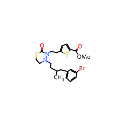 COC(=O)c1ccc(CCN2C(=O)SCCN2CCC(C)Cc2cccc(Br)c2)s1